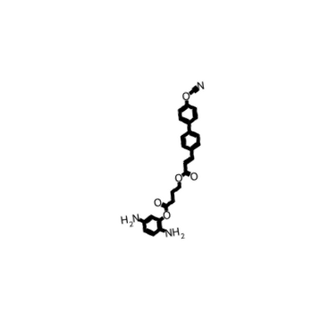 N#COc1ccc(-c2ccc(/C=C/C(=O)OCCCC(=O)Oc3cc(N)ccc3N)cc2)cc1